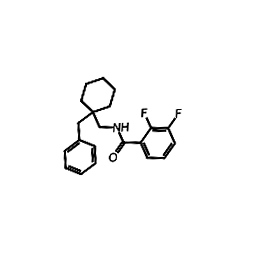 O=C(NCC1(Cc2ccccc2)CCCCC1)c1cccc(F)c1F